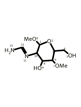 COC1OC(CO)C(OC)C(O)C1/N=C/N